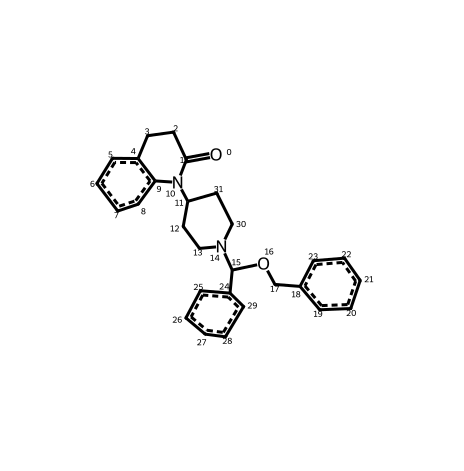 O=C1CCc2ccccc2N1C1CCN(C(OCc2ccccc2)c2ccccc2)CC1